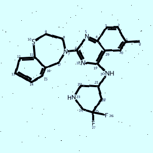 Cc1ccc2nc(N3CCSc4ccccc4C3)nc(NC3CNCC(F)(F)C3)c2c1